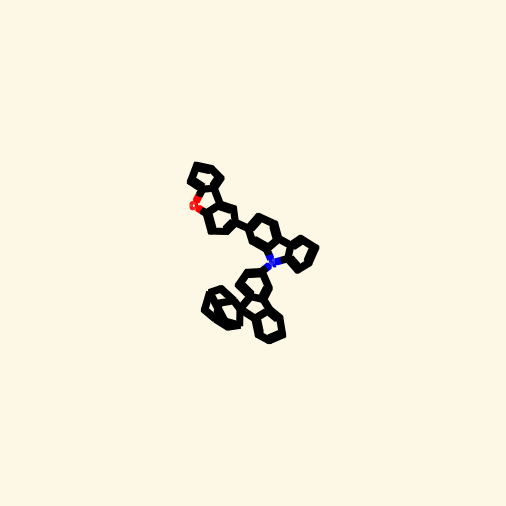 c1ccc2c(c1)-c1cc(-n3c4ccccc4c4ccc(-c5ccc6oc7ccccc7c6c5)cc43)ccc1C21C2CC3CC(C2)CC1C3